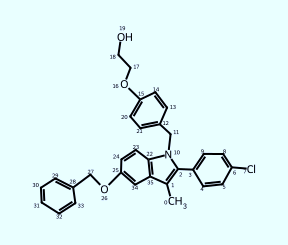 Cc1c(-c2ccc(Cl)cc2)n(Cc2ccc(OCCO)cc2)c2ccc(OCc3ccccc3)cc12